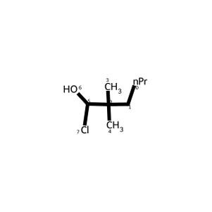 CCCCC(C)(C)C(O)Cl